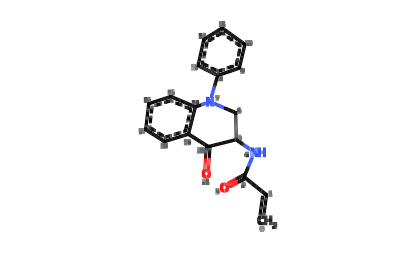 C=CC(=O)NC1CN(c2ccccc2)c2ccccc2C1=O